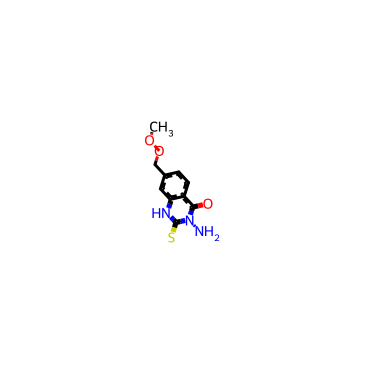 COOCc1ccc2c(=O)n(N)c(=S)[nH]c2c1